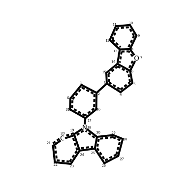 c1cc(-c2ccc3oc4ccccc4c3c2)cc(-n2c3ccccc3c3ccccc32)c1